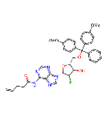 C=CCCC(=O)Nc1ncnc2c1ncn2[C@@H]1O[C@H](COC(c2ccccc2)(c2ccc(OC)cc2)c2ccc(OC)cc2)[C@@H](O)[C@H]1F